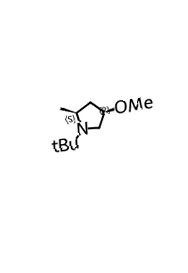 CO[C@@H]1C[C@H](C)N(C(C)(C)C)C1